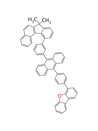 CC1(C)c2cccc(-c3cccc(-c4c5ccccc5c(-c5ccc(-c6cccc7c6oc6ccccc67)cc5)c5ccccc45)c3)c2-c2c1ccc1ccccc21